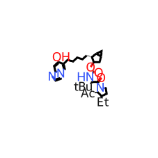 CC[C@@H]1CCN(C(=O)C(NC(=O)OC2CC3CC3[C@H]2CCCCCc2cn3ccnc3cc2O)C(C)(C)C)[C@@H]1C(C)=O